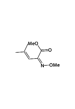 CON=C(C=C(C)C)C(=O)OC